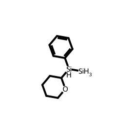 [SiH3][SiH](c1ccccc1)C1CCCCO1